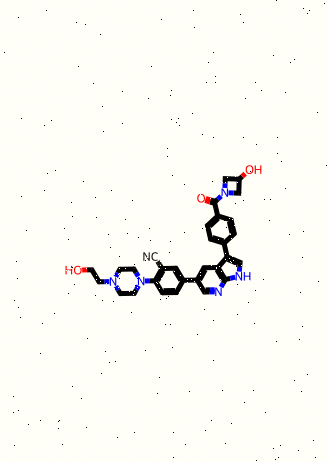 N#Cc1cc(-c2cnc3[nH]cc(-c4ccc(C(=O)N5CC(O)C5)cc4)c3c2)ccc1N1CCN(CCO)CC1